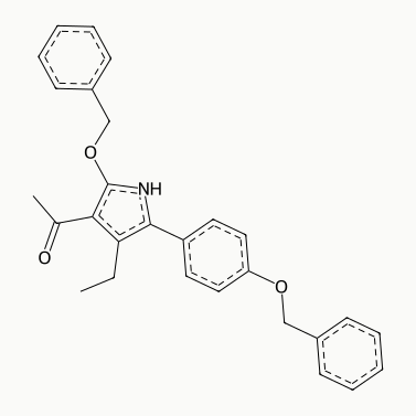 CCc1c(-c2ccc(OCc3ccccc3)cc2)[nH]c(OCc2ccccc2)c1C(C)=O